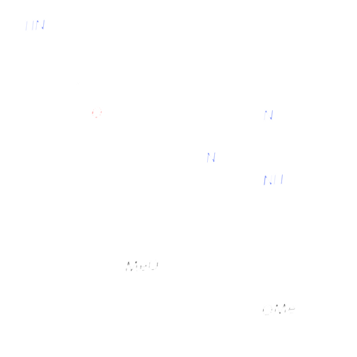 COc1cc(Nc2ncc3ccc(OC4CCNCC4)cc3n2)cc(OC)c1